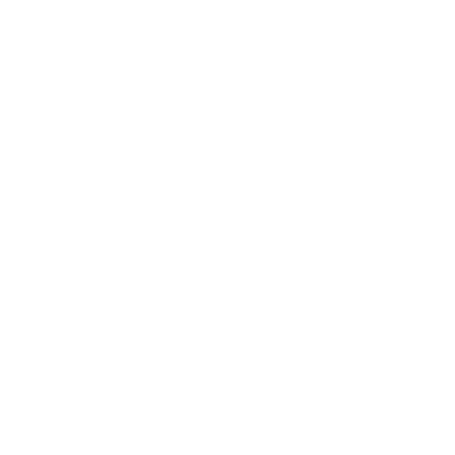 C[C@H](CCC(C)(C)[Si](C)(C)O)C1CCC2C3C=CC4=CC(=O)CC[C@]4(C)C3CC[C@@]21C